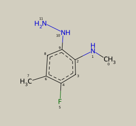 CNc1cc(F)c(C)cc1NN